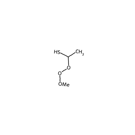 COOOC(C)S